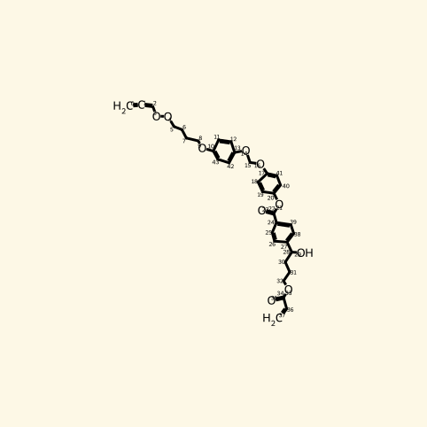 C=C=COOCCCCOc1ccc(OCOc2ccc(OC(=O)c3ccc(C(O)CCCOC(=O)C=C)cc3)cc2)cc1